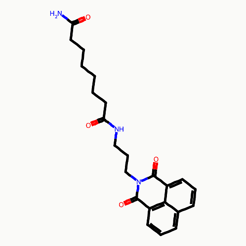 NC(=O)CCCCCCC(=O)NCCCN1C(=O)c2cccc3cccc(c23)C1=O